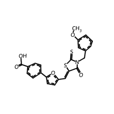 COc1cccc(CN2C(=O)C(=Cc3ccc(-c4ccc(C(=O)O)cc4)o3)SC2=S)c1